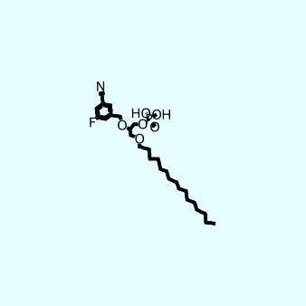 CCCCCCCCCCCCCCCCOCC(COP(=O)(O)O)OCc1cc(F)cc(C#N)c1